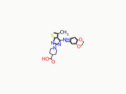 Cc1csc2nc(N3CCC(C(=O)O)CC3)nc(NCc3ccc4c(c3)OCCO4)c12